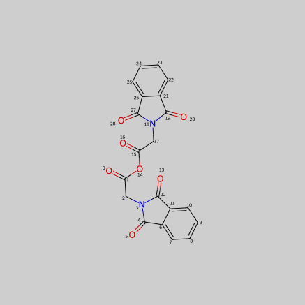 O=C(CN1C(=O)c2ccccc2C1=O)OC(=O)CN1C(=O)c2ccccc2C1=O